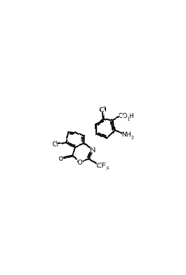 Nc1cccc(Cl)c1C(=O)O.O=c1oc(C(F)(F)F)nc2cccc(Cl)c12